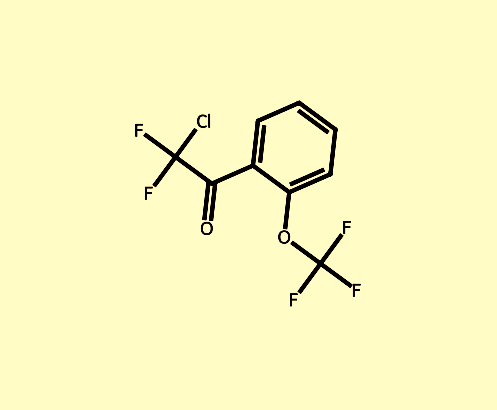 O=C(c1ccccc1OC(F)(F)F)C(F)(F)Cl